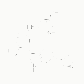 Cc1noc(C)c1-c1ccc2c(-c3nc(N[C@@H]4CNC[C@H](O)C4)ncc3C(F)(F)F)c[nH]c2c1